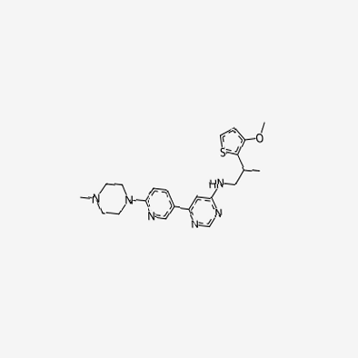 COc1ccsc1C(C)CNc1cc(-c2ccc(N3CCN(C)CC3)nc2)ncn1